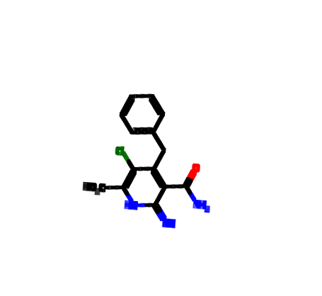 N=c1[nH]c(C(=O)O)c(Cl)c(Cc2ccccc2)c1C(N)=O